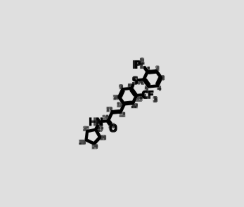 CC(C)c1ccccc1Sc1ccc(C=CC(=O)NC2CCCC2)cc1C(F)(F)F